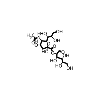 CC(=O)N[C@H]1[C@H]([C@H](O)[C@H](O)CO)O[C@](O)(C(=O)O[C@@H](C=O)[C@@H](O)[C@H](O)[C@H](O)CO)C[C@@H]1O